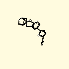 N#Cc1ccc(-c2cnc3c(c2)C[C@@]2(CC4CCC2CC4)O3)o1